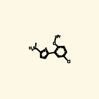 CCCOc1ccc(Cl)cc1-c1ccc([SiH2]C)s1